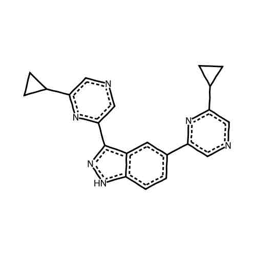 c1cc2[nH]nc(-c3cncc(C4CC4)n3)c2cc1-c1cncc(C2CC2)n1